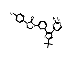 CC(C)(C)c1nc(-c2ccnc(N)n2)c(C2C=CC=C(N3CCN(c4ccc(Cl)cc4)C3=O)C2)s1